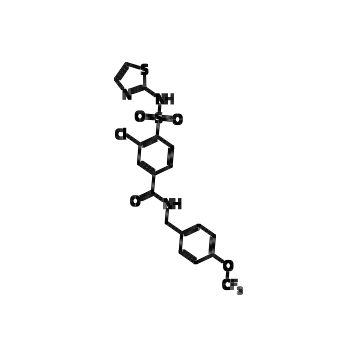 O=C(NCc1ccc(OC(F)(F)F)cc1)c1ccc(S(=O)(=O)Nc2nccs2)c(Cl)c1